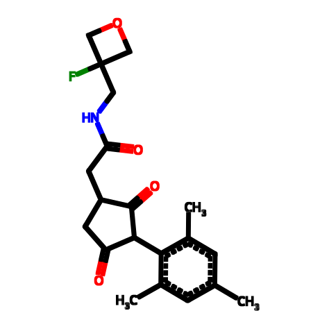 Cc1cc(C)c(C2C(=O)CC(CC(=O)NCC3(F)COC3)C2=O)c(C)c1